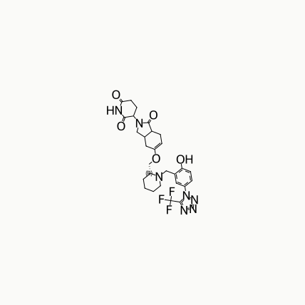 O=C1CCC(N2CC3CC(OC[C@H]4CCCCN4Cc4cc(-n5nnnc5C(F)(F)F)ccc4O)=CCC3C2=O)C(=O)N1